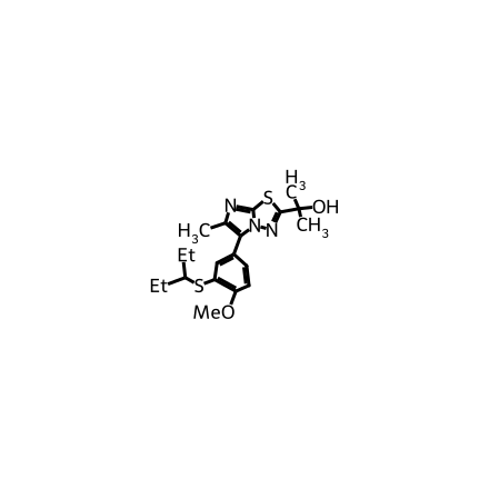 CCC(CC)Sc1cc(-c2c(C)nc3sc(C(C)(C)O)nn23)ccc1OC